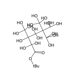 CC(C)(C)OC(=O)C(O)(O)C(O)(C(O)(O)O)C(O)(O)C(C(O)(O)O)(C(O)(O)O)C(O)(O)O